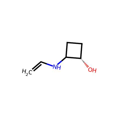 C=CNC1CC[C@@H]1O